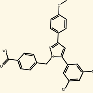 COc1ccc(-c2cc(-c3cc(Cl)cc(Cl)c3)n(Cc3ccc(C(=O)O)cc3)n2)cc1